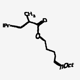 CCCCCCCCCCCCOC(=O)C(C)CC(C)C